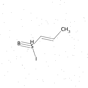 B#[SH](I)/C=C/C